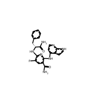 NC(=O)c1cc(F)c(N[C@H](Cc2ccccc2)C(N)=O)nc1Nc1ccnc2[nH]ccc12